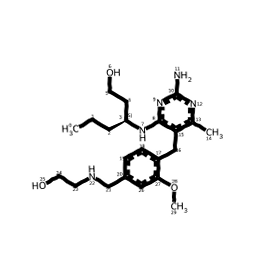 CCC[C@@H](CCO)Nc1nc(N)nc(C)c1Cc1ccc(CNCCO)cc1OC